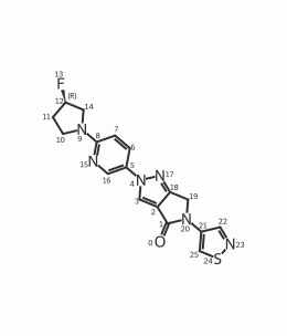 O=C1c2cn(-c3ccc(N4CC[C@@H](F)C4)nc3)nc2CN1c1cnsc1